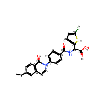 CCc1ccc2c(=O)n(-c3ccc(C(=O)NC(C(=O)O)c4ccc(Cl)s4)cc3)ccc2c1